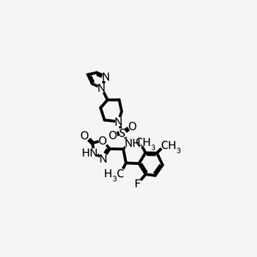 Cc1ccc(F)c(C(C)[C@H](NS(=O)(=O)N2CCC(n3cccn3)CC2)c2n[nH]c(=O)o2)c1C